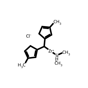 CC1=CCC([CH]([Zr+][SiH](C)C)C2=CC(C)=CC2)=C1.[Cl-]